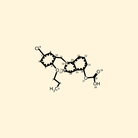 CCCOc1ccc(Cl)cc1Cn1ncc2c(OC(=O)O)cccc21